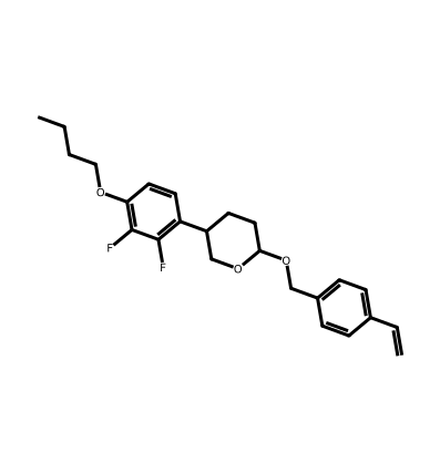 C=Cc1ccc(COC2CCC(c3ccc(OCCCC)c(F)c3F)CO2)cc1